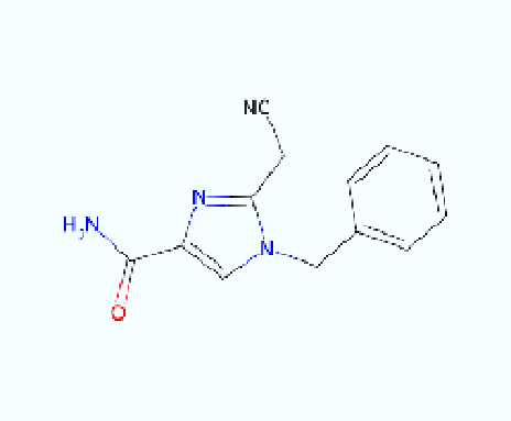 N#CCc1nc(C(N)=O)cn1Cc1ccccc1